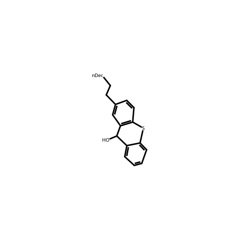 CCCCCCCCCCCCc1ccc2c(c1)C(O)c1ccccc1S2